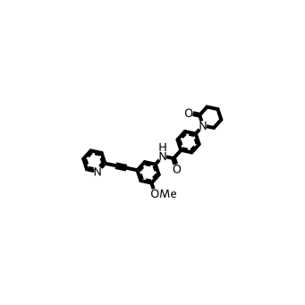 COc1cc(C#Cc2ccccn2)cc(NC(=O)c2ccc(N3CCCCC3=O)cc2)c1